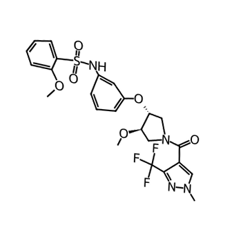 COc1ccccc1S(=O)(=O)Nc1cccc(O[C@@H]2CN(C(=O)c3cn(C)nc3C(F)(F)F)C[C@H]2OC)c1